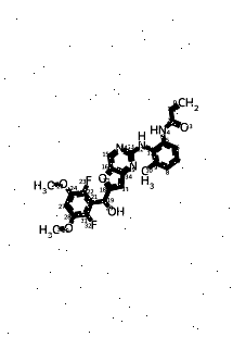 C=CC(=O)Nc1cccc(C)c1Nc1ncc2oc(C(O)c3c(F)c(OC)cc(OC)c3F)cc2n1